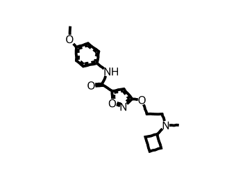 COc1ccc(NC(=O)c2cc(OCCN(C)C3CCC3)no2)cc1